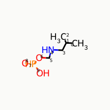 CC(C)CNCO[PH](=O)O